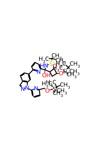 CC(C)(C)[S@@+]([O-])N[C@@](O)(c1cccc(-c2ccc3cnn(-c4cccc(CO[Si](C)(C)C(C)(C)C)n4)c3c2)n1)C1CC(O[Si](C)(C)C(C)(C)C)C1